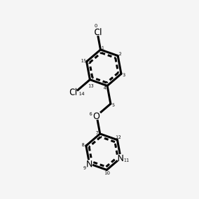 Clc1ccc(COc2cncnc2)c(Cl)c1